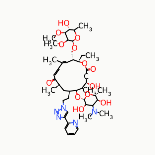 CC[C@H]1OC(=O)C[C@@H](O)[C@H](C)[C@@H](O[C@@H]2O[C@H](C)[C@@H](O)C(N(C)C)C2O)[C@@H](CCn2cc(-c3ccccn3)nn2)C[C@@H](C)C(=O)/C=C/C(C)=C/[C@@H]1CO[C@@H]1OC(C)[C@@H](O)[C@H](OC)C1OC